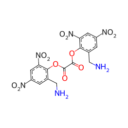 NCc1cc([N+](=O)[O-])cc([N+](=O)[O-])c1OC(=O)C(=O)Oc1c(CN)cc([N+](=O)[O-])cc1[N+](=O)[O-]